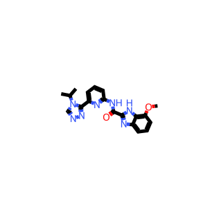 COc1cccc2nc(C(=O)Nc3cccc(-c4nncn4C(C)C)n3)[nH]c12